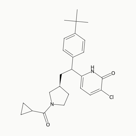 CC(C)(C)c1ccc(C(C[C@H]2CCN(C(=O)C3CC3)C2)c2ccc(Cl)c(=O)[nH]2)cc1